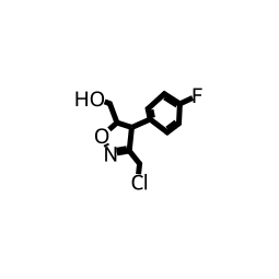 OCC1ON=C(CCl)C1c1ccc(F)cc1